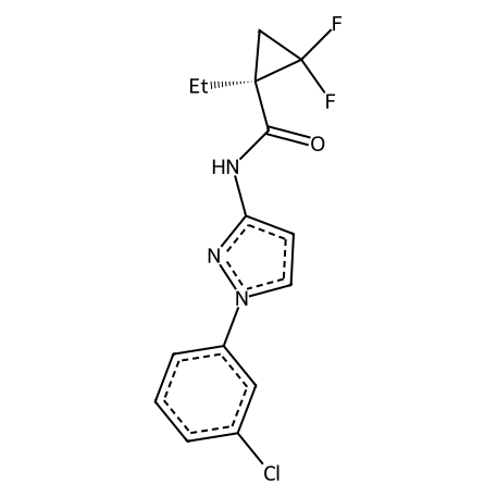 CC[C@]1(C(=O)Nc2ccn(-c3cccc(Cl)c3)n2)CC1(F)F